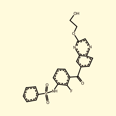 O=C(c1ccc2ncc(OCCO)nc2c1)c1cccc(NS(=O)(=O)c2ccccc2)c1F